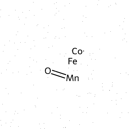 [Co].[Fe].[O]=[Mn]